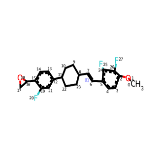 COc1ccc(/C=C/C2CCC(c3ccc(C4CO4)c(F)c3)CC2)c(F)c1F